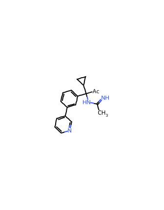 CC(=N)NC(C(C)=O)(c1cccc(-c2cccnc2)c1)C1CC1